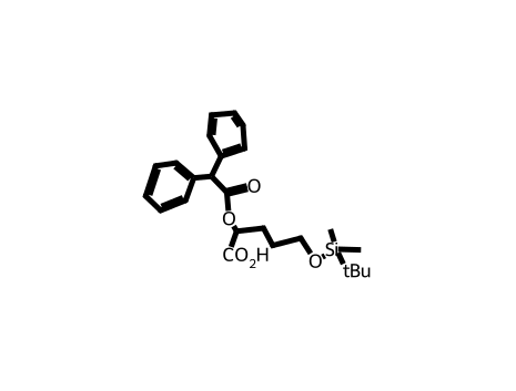 CC(C)(C)[Si](C)(C)OCCCC(OC(=O)C(c1ccccc1)c1ccccc1)C(=O)O